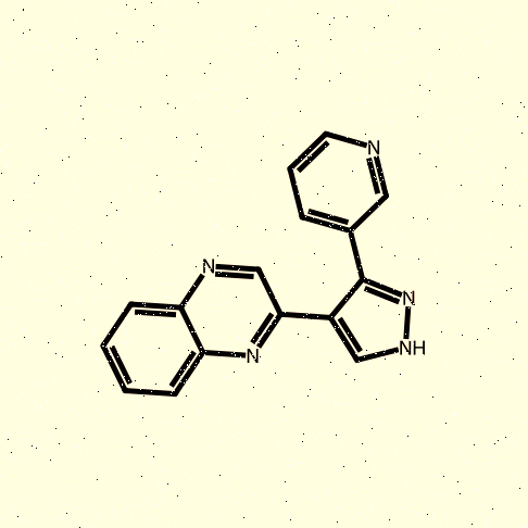 c1cncc(-c2n[nH]cc2-c2cnc3ccccc3n2)c1